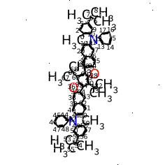 Cc1ccc(C(C)(C)C)cc1N(c1ccccc1)c1ccc2cc3c(cc2c1)oc1c(C(C)C)c2c(oc4cc5cc(N(c6ccccc6)c6cc(C(C)(C)C)ccc6C)ccc5cc42)c(C(C)C)c13